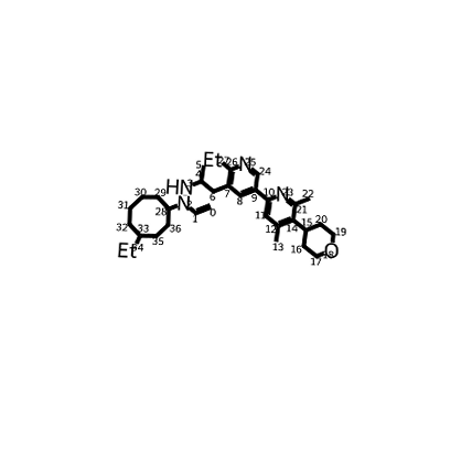 C=CN(NC(C)Cc1cc(-c2cc(C)c(C3CCOCC3)c(C)n2)cnc1CC)C1CCCCC(CC)CC1